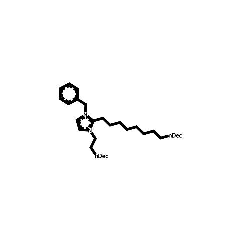 CCCCCCCCCCCCCCCCCCc1n(Cc2ccccc2)cc[n+]1CCCCCCCCCCCC